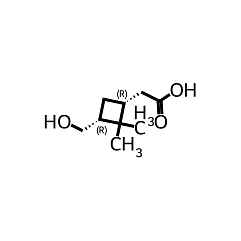 CC1(C)[C@H](CO)C[C@@H]1CC(=O)O